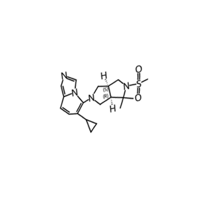 CC1(C)[C@H]2CN(c3c(C4CC4)ccc4cncn34)C[C@H]2CN1S(C)(=O)=O